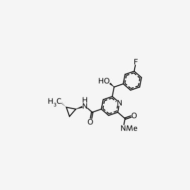 CNC(=O)c1cc(C(=O)N[C@H]2C[C@@H]2C)cc([C@@H](O)c2cccc(F)c2)n1